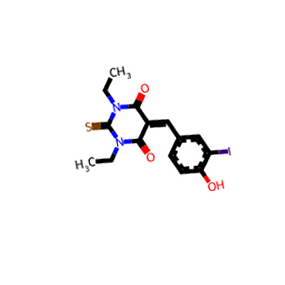 CCN1C(=O)C(=Cc2ccc(O)c(I)c2)C(=O)N(CC)C1=S